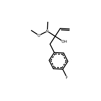 C=CC(O)(Cc1ccc(F)cc1)N(C)OC